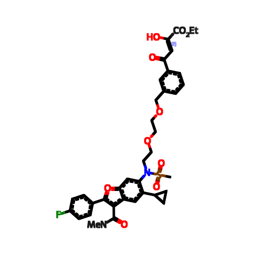 CCOC(=O)/C(O)=C/C(=O)c1cccc(COCCOCCN(c2cc3oc(-c4ccc(F)cc4)c(C(=O)NC)c3cc2C2CC2)S(C)(=O)=O)c1